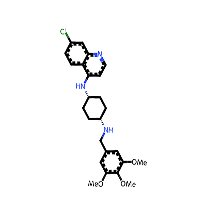 COc1cc(CN[C@H]2CC[C@@H](Nc3ccnc4cc(Cl)ccc34)CC2)cc(OC)c1OC